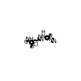 CNC(=O)c1cc(CCc2cnc(Nc3ccc(N4CCN(C)CC4)c(OC)c3)nc2)c(Cl)c(OC)c1